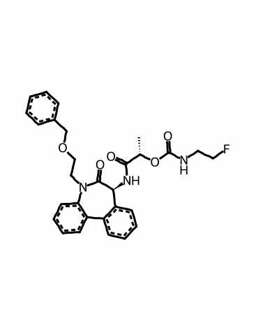 C[C@H](OC(=O)NCCF)C(=O)N[C@@H]1C(=O)N(CCOCc2ccccc2)c2ccccc2-c2ccccc21